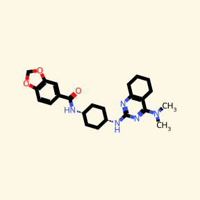 CN(C)c1nc(N[C@H]2CC[C@@H](NC(=O)c3ccc4c(c3)OCO4)CC2)nc2c1CCCC2